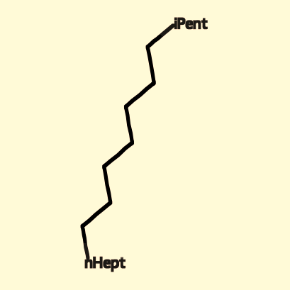 [CH2]CCCCCCCCCCCCCC(C)CC[CH2]